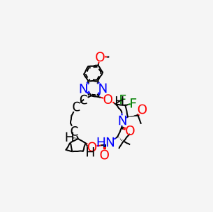 COc1ccc2nc3c(nc2c1)O[C@H]1CN(C(=O)[C@H](C(C)(C)C)NC(=O)O[C@@H]2CC4CC4[C@H]2CCCCC3)[C@H](C(C)=O)C1(F)F